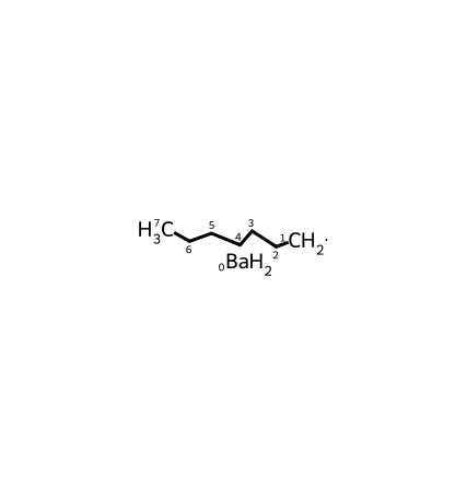 [BaH2].[CH2]CCCCCC